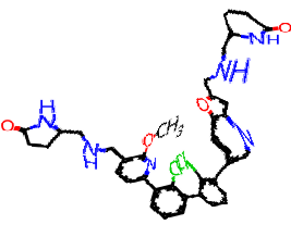 COc1nc(-c2cccc(-c3cccc(-c4cnc5cc(CNCC6CCC(=O)N6)oc5c4)c3Cl)c2Cl)ccc1CNCC1CCC(=O)N1